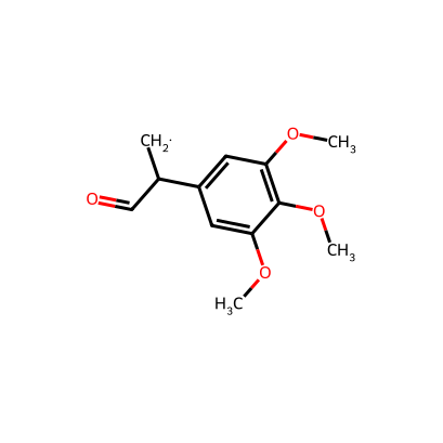 [CH2]C(C=O)c1cc(OC)c(OC)c(OC)c1